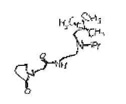 CC(C)N(CCNC(=O)CN1CCCC1=O)C[Si](C)(C)C